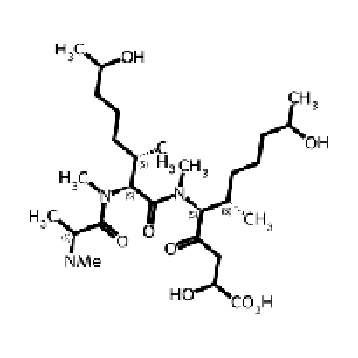 CN[C@@H](C)C(=O)N(C)[C@H](C(=O)N(C)[C@H](C(=O)CC(O)C(=O)O)[C@@H](C)CCCC(C)O)[C@@H](C)CCCC(C)O